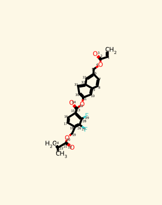 C=CC(=O)OCc1ccc2cc(OC(=O)c3ccc(COC(=O)C(=C)C)c(F)c3F)ccc2c1